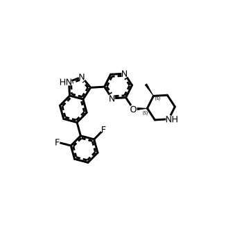 C[C@H]1CCNC[C@H]1Oc1cncc(-c2n[nH]c3ccc(-c4c(F)cccc4F)cc23)n1